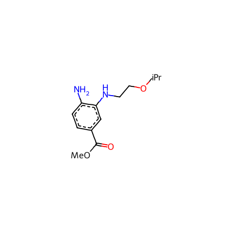 COC(=O)c1ccc(N)c(NCCOC(C)C)c1